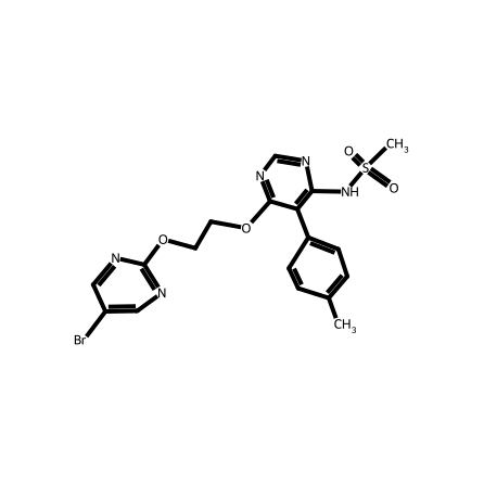 Cc1ccc(-c2c(NS(C)(=O)=O)ncnc2OCCOc2ncc(Br)cn2)cc1